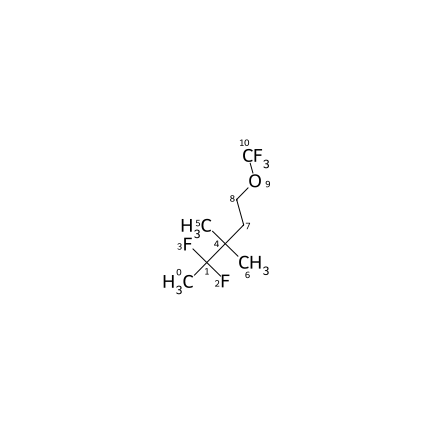 CC(F)(F)C(C)(C)CCOC(F)(F)F